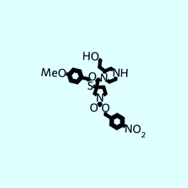 COc1ccc(CSC2(C(=O)N3CCNCC3CCO)CCN(C(=O)OCc3ccc([N+](=O)[O-])cc3)C2)cc1